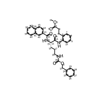 COC(=O)CCc1ccccc1NC(=O)[C@H](CCCNC(=O)OCc1ccccc1)NC(=O)c1ccc2ncccc2c1